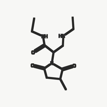 CCNCC(C(=O)NCC)N1C(=O)CC(C)C1=O